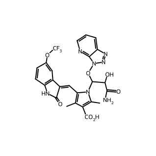 Cc1c(C(=O)O)c(C)n(C(On2nnc3cccnc32)C(O)C(N)=O)c1C=C1C(=O)Nc2ccc(OC(F)(F)F)cc21